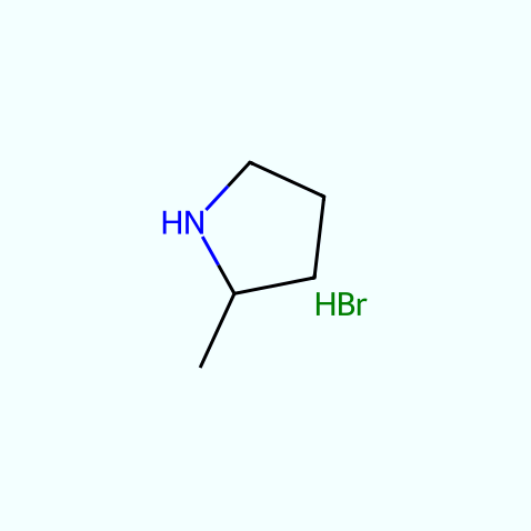 Br.CC1CCCN1